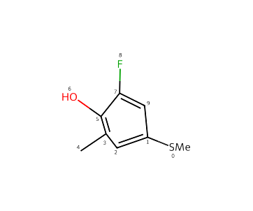 CSc1cc(C)c(O)c(F)c1